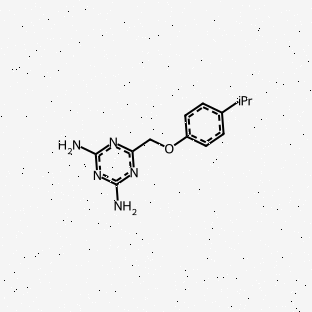 CC(C)c1ccc(OCc2nc(N)nc(N)n2)cc1